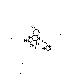 Cc1[nH]nc2c1c(=O)n(CCCc1ncc[nH]1)c1ccc(Cl)cc21